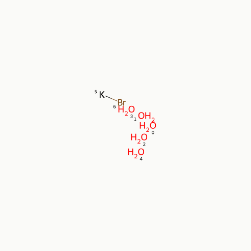 O.O.O.O.O.[K][Br]